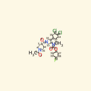 CC(=O)N1CCC(C(=O)N2CC(c3ccc(Cl)c(Cl)c3)C(N(C)C(=O)Oc3ccc(F)cc3)C2)CC1